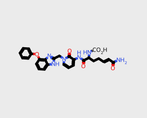 NC(=O)C=CCCC(NC(=O)O)C(=O)Nc1cccn(Cc2nc3c(Oc4ccccc4)cccc3[nH]2)c1=O